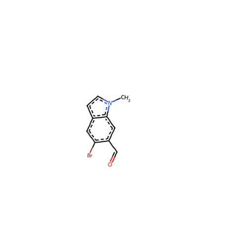 Cn1ccc2cc(Br)c(C=O)cc21